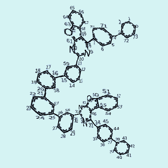 c1ccc(-c2ccc(-c3nc(-c4cccc(-c5cccc(-c6cccc(-c7cccc(-c8nc(-c9ccc(-c%10ccccc%10)cc9)c9c(n8)oc8ccccc89)c7)c6)c5)c4)nc4oc5ccccc5c34)cc2)cc1